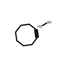 C1#CCCCCCC1.SS